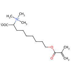 C=C(C)C(=O)OCCCCCCCC(C(=O)[O-])[N+](C)(C)C